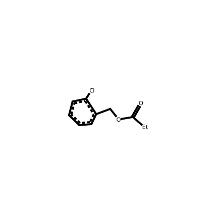 CCC(=O)OCc1ccccc1Cl